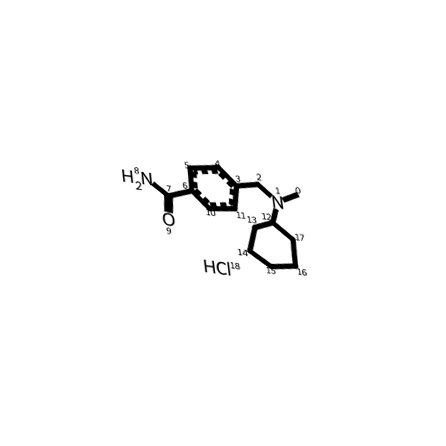 CN(Cc1ccc(C(N)=O)cc1)C1CCCCC1.Cl